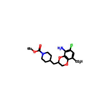 CC(C)(C)OC(=O)N1CCC(CC2COc3c(C(=O)O)cc(Cl)c(N)c3O2)CC1